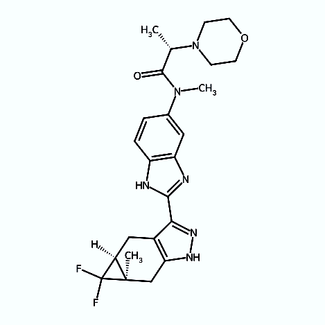 C[C@@H](C(=O)N(C)c1ccc2[nH]c(-c3n[nH]c4c3C[C@@H]3C(F)(F)[C@]3(C)C4)nc2c1)N1CCOCC1